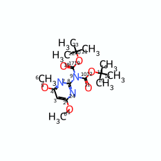 COc1cc(OC)nc(N(C(=O)OC(C)(C)C)C(=O)OC(C)(C)C)n1